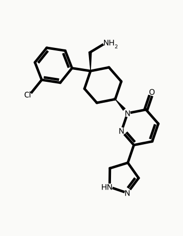 NC[C@]1(c2cccc(Cl)c2)CC[C@H](n2nc(C3C=NNC3)ccc2=O)CC1